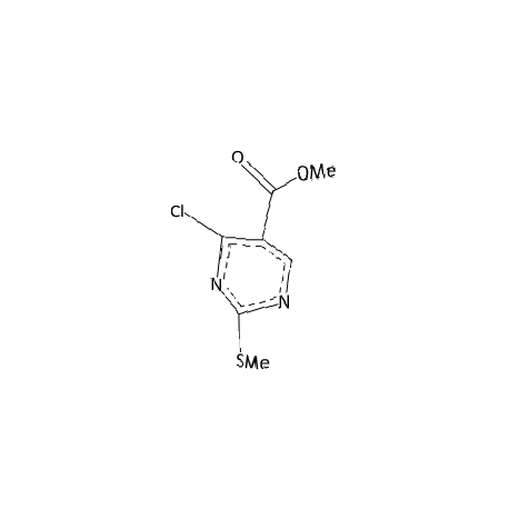 COC(=O)c1cnc(SC)nc1Cl